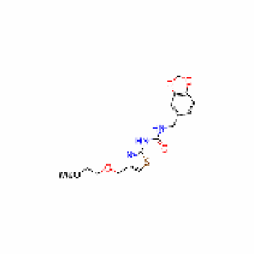 COCCOCc1csc(NC(=O)NCc2ccc3c(c2)OCO3)n1